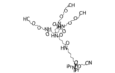 C#CCOCCOCCNC(=O)CCC(CCC(=O)NCCOCCOCC#C)(CCC(=O)NCCOCCOCC#C)NC(=O)CCCC(=O)NCCCCCCOP(OCCC#N)N(C(C)C)C(C)C